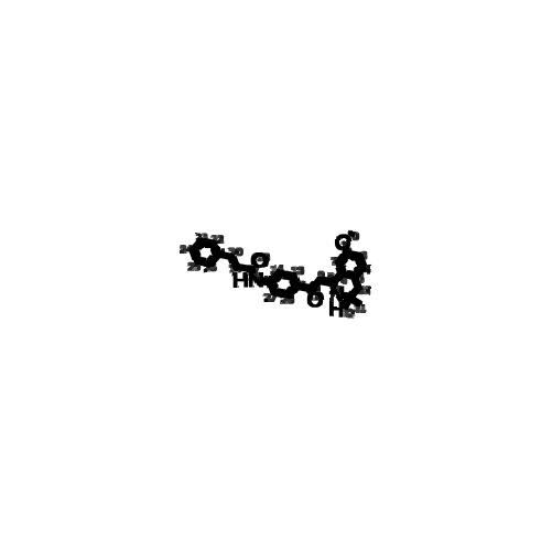 COc1ccc2c(c1)/C(=C/C(=O)c1ccc(NC(=O)CCc3ccccc3)cc1)NC(C)(C)C2